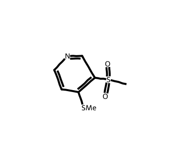 CSc1ccncc1S(C)(=O)=O